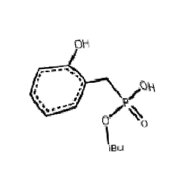 CCC(C)OP(=O)(O)Cc1ccccc1O